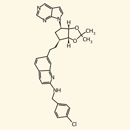 CC1(C)O[C@@H]2[C@@H](CCc3ccc4ccc(NCc5ccc(Cl)cc5)nc4c3)C[C@@H](n3ccc4cncnc43)[C@@H]2O1